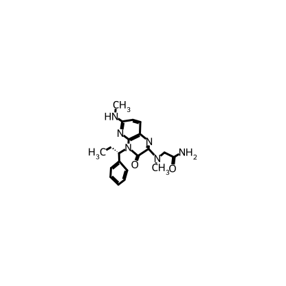 CC[C@@H](c1ccccc1)n1c(=O)c(N(C)CC(N)=O)nc2ccc(NC)nc21